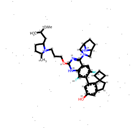 COC(C)CC1CCC(C)N1CCCOC1N=C(N2CC3CCC(C2)N3)c2cc(F)c(-c3cc(O)cc4c3C3(CCC3)CC4)c(F)c2N1